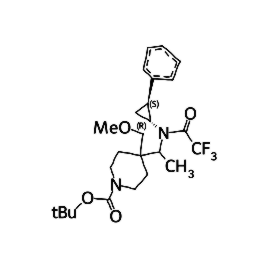 COCC1(C(C)N(C(=O)C(F)(F)F)[C@@H]2C[C@H]2c2ccccc2)CCN(C(=O)OC(C)(C)C)CC1